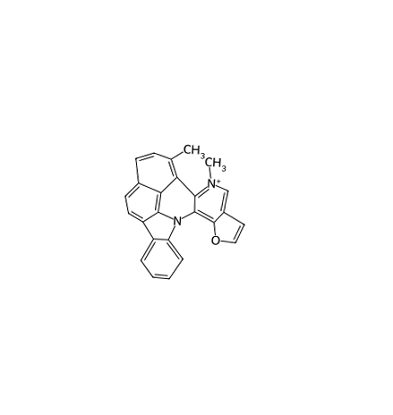 Cc1ccc2ccc3c4ccccc4n4c3c2c1c1c4c2occc2c[n+]1C